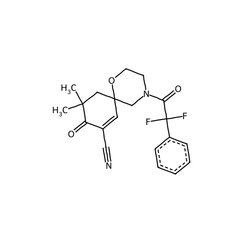 CC1(C)CC2(C=C(C#N)C1=O)CN(C(=O)C(F)(F)c1ccccc1)CCO2